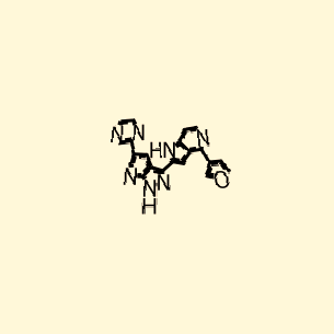 c1cnc(-c2cnc3[nH]nc(-c4cc5c(-c6ccoc6)nccc5[nH]4)c3c2)cn1